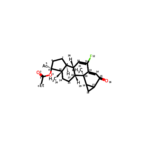 CCC(=O)O[C@@]1(C(C)=O)CC[C@H]2[C@@H]3C=C(F)C4=CC(=O)C5CC5[C@@]4(C)[C@@H]3CC[C@@]21C